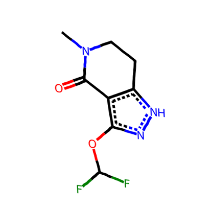 CN1CCc2[nH]nc(OC(F)F)c2C1=O